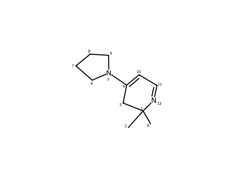 CC1(C)CC(N2CCCC2)=CC=N1